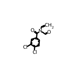 C=CN(C=O)C(=O)c1ccc(Cl)c(Cl)c1